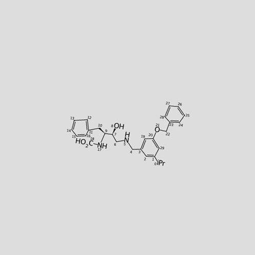 CC(C)c1cc(CNC[C@H](O)[C@H](Cc2ccccc2)NC(=O)O)cc(OCc2ccccc2)c1